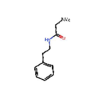 CNCC(=O)NCCc1ccccc1